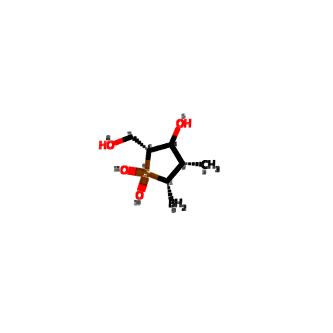 B[C@H]1[C@@H](C)C(O)[C@@H](CO)S1(=O)=O